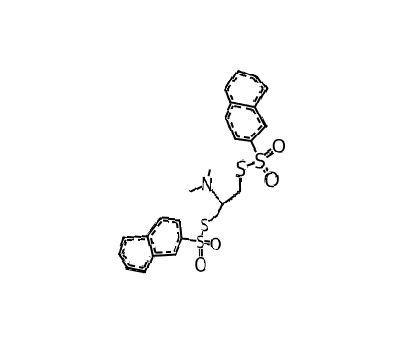 CN(C)C(CSS(=O)(=O)c1ccc2ccccc2c1)CSS(=O)(=O)c1ccc2ccccc2c1